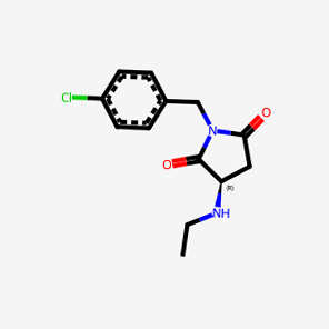 CCN[C@@H]1CC(=O)N(Cc2ccc(Cl)cc2)C1=O